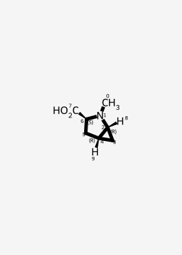 CN1[C@@H]2C[C@@H]2C[C@H]1C(=O)O